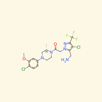 COc1cc(N2CCN(C(=O)Cn3nc(C(F)(F)F)c(Cl)c3CN)[C@@H](C)C2)ccc1Cl